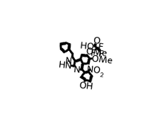 COc1cc2c(-c3cc(O)ccc3[N+](=O)[O-])nc3[nH]nc(Cc4ccccc4)c3c2cc1OC.O=C(O)C(F)(F)F